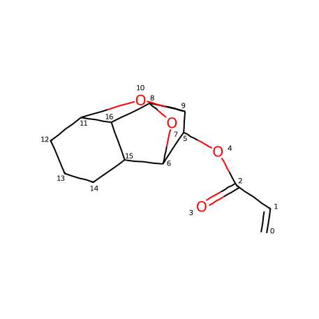 C=CC(=O)OC1C2OC3C1OC1CCCC2C13